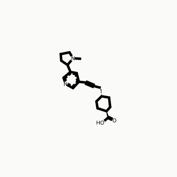 CN1CCCC1c1cncc(C#CC[C@H]2CC[C@H](C(=O)O)CC2)c1